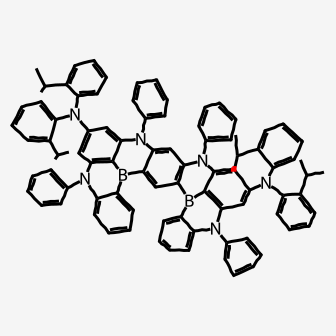 CC(C)c1ccccc1N(c1cc2c3c(c1)N(c1ccccc1)c1cc4c(cc1B3c1ccccc1N2c1ccccc1)B1c2ccccc2N(c2ccccc2)c2cc(N(c3ccccc3C(C)C)c3ccccc3C(C)C)cc(c21)N4c1ccccc1)c1ccccc1C(C)C